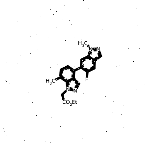 CCOC(=O)Cn1ncc2c(-c3cc4c(cnn4C)cc3F)ccc(C)c21